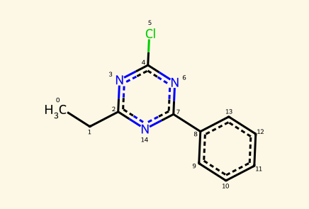 CCc1nc(Cl)nc(-c2ccccc2)n1